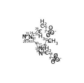 C=CCS(=O)(=O)[O-].C=CCS(=O)(=O)[O-].CCCC[N+]1(CCCC[N+]2(CCCC)C=CN=C2)C=CN=C1